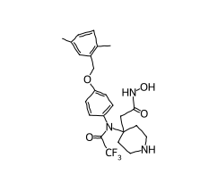 Cc1ccc(C)c(COc2ccc(N(C(=O)C(F)(F)F)C3(CC(=O)NO)CCNCC3)cc2)c1